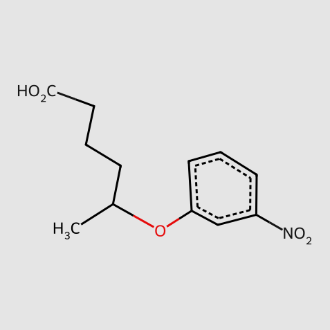 CC(CCCC(=O)O)Oc1cccc([N+](=O)[O-])c1